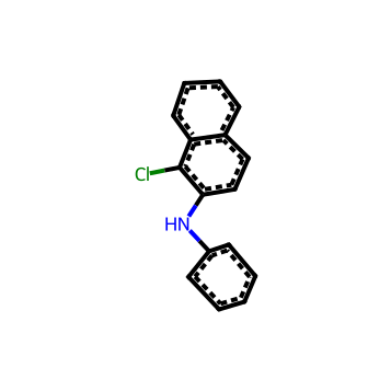 Clc1c(Nc2ccccc2)ccc2ccccc12